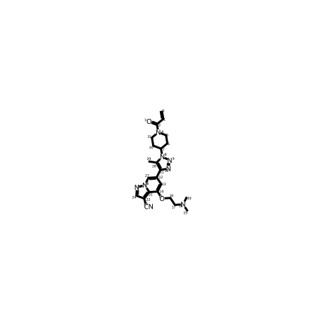 C=CC(=O)N1CCC(n2nnc(-c3cc(OCCN(C)C)c4c(C#N)cnn4c3)c2C)CC1